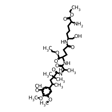 CCOC(=O)C(N)CCCC(CO)NC(=O)CCC(NC(=O)C(C)NC(=O)C(C)(C)CC(C)c1cc(OC)c(OC)c(OC)c1)C(=O)OCC